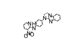 O=[N+]([O-])c1cccnc1Nc1ccc(N2CCn3c2nc2ccccc23)cc1